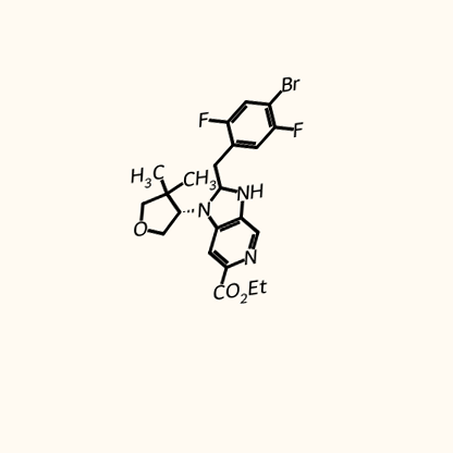 CCOC(=O)c1cc2c(cn1)NC(Cc1cc(F)c(Br)cc1F)N2[C@@H]1COCC1(C)C